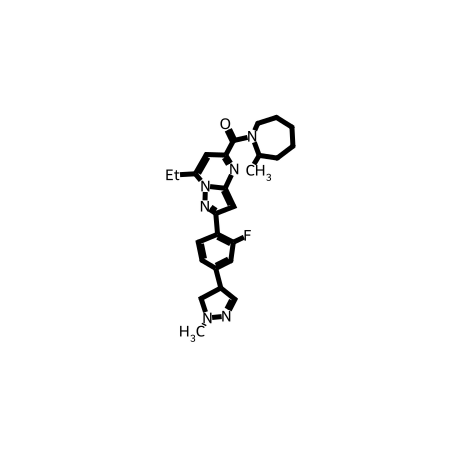 CCc1cc(C(=O)N2CCCCCC2C)nc2cc(-c3ccc(C4C=NN(C)C4)cc3F)nn12